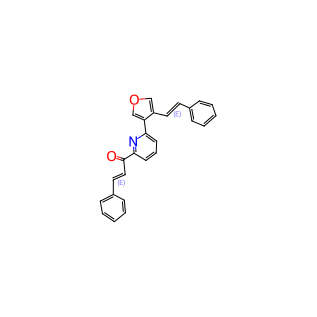 O=C(/C=C/c1ccccc1)c1cccc(-c2cocc2/C=C/c2ccccc2)n1